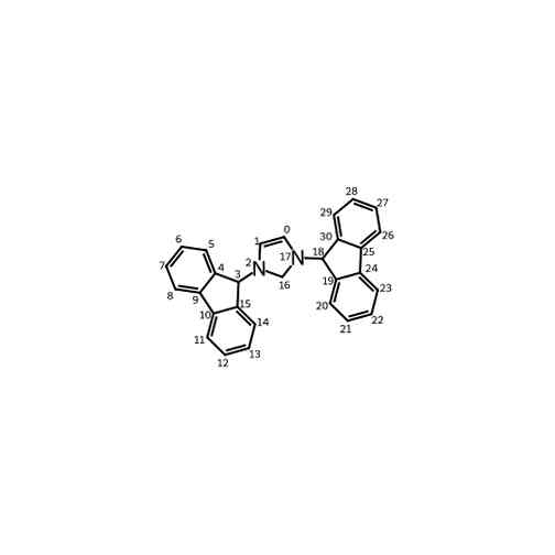 C1=CN(C2c3ccccc3-c3ccccc32)CN1C1c2ccccc2-c2ccccc21